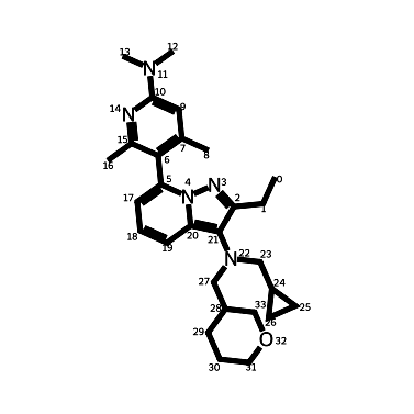 CCc1nn2c(-c3c(C)cc(N(C)C)nc3C)cccc2c1N(CC1CC1)CC1CCCOC1